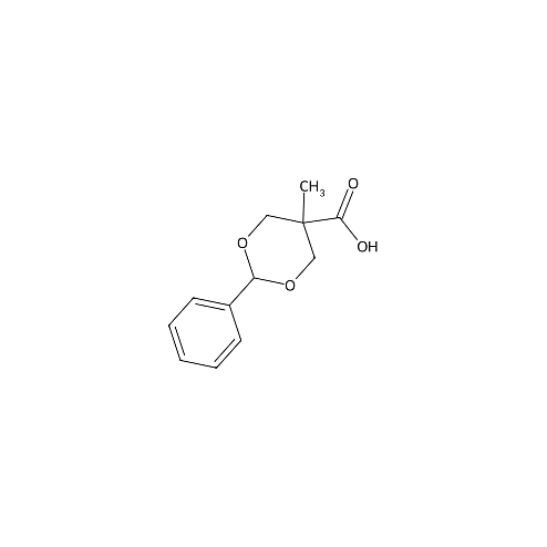 CC1(C(=O)O)COC(c2ccccc2)OC1